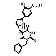 O=C1NC(=S)N(Cc2ccccn2)C(=O)/C1=C/c1ccc(-c2ccc(C(=O)O)c(O)c2)[nH]1